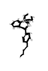 CCCCc1ccc(C2O[Si](CC)(CC)c3ccccc32)cc1